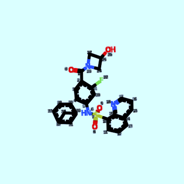 O=C(c1ccc(NS(=O)(=O)c2cccc3cccnc23)cc1F)N1CC(O)C1.c1cc2cc(c1)C2